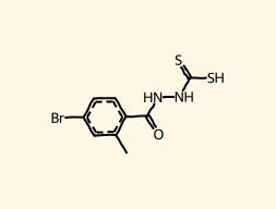 Cc1cc(Br)ccc1C(=O)NNC(=S)S